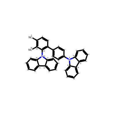 N#Cc1ccc(-c2ccc(-n3c4ccccc4c4ccccc43)cc2)c(-n2c3ccccc3c3ccccc32)c1C#N